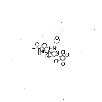 C=CC(=O)Nc1cccc(C)c1Nc1ncc2cc(-c3c(Cl)c(OC)cc(OC)c3Cl)nc(NCC3CCOCC3)c2n1